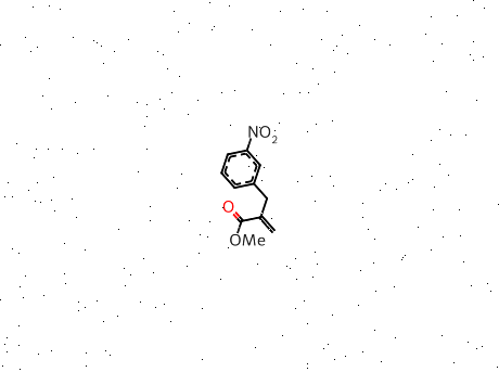 C=C(Cc1cccc([N+](=O)[O-])c1)C(=O)OC